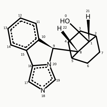 O[C@@H]1C2CCC(CC2)[C@@H]1[C@@H]1c2ccccc2-c2cncn21